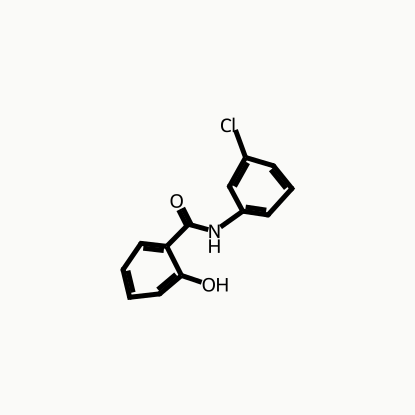 O=C(Nc1cccc(Cl)c1)c1ccccc1O